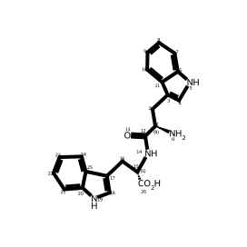 N[C@H](Cc1c[nH]c2ccccc12)C(=O)N[C@@H](Cc1c[nH]c2ccccc12)C(=O)O